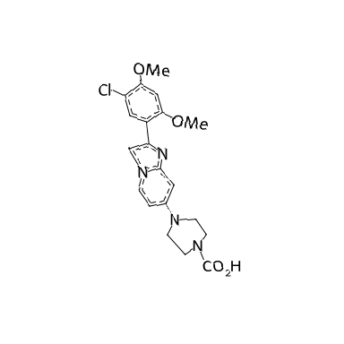 COc1cc(OC)c(-c2cn3ccc(N4CCN(C(=O)O)CC4)cc3n2)cc1Cl